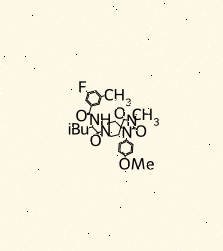 CCC(C)C(NC(=O)c1cc(C)cc(F)c1)C(=O)N1CCC2(CC1)C(=O)N(C)C(=O)N2c1ccc(OC)cc1